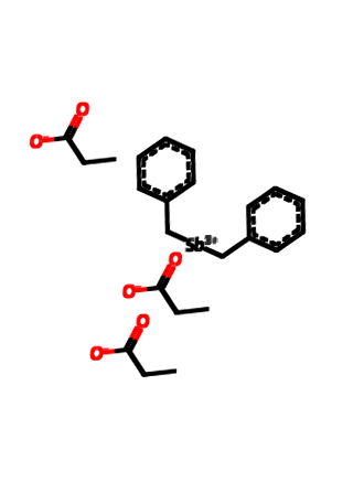 CCC(=O)[O-].CCC(=O)[O-].CCC(=O)[O-].c1ccc([CH2][Sb+3][CH2]c2ccccc2)cc1